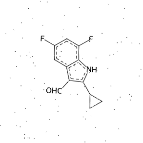 O=Cc1c(C2CC2)[nH]c2c(F)cc(F)cc12